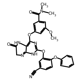 COc1cc(OC2=C3NC(=O)CN=C3NC(Oc3cc(C#N)ccc3Oc3ccccc3)=N2)cc(C(=O)N(C)C)c1